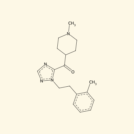 Cc1ccccc1CCn1ncnc1C(=O)C1CCN(C)CC1